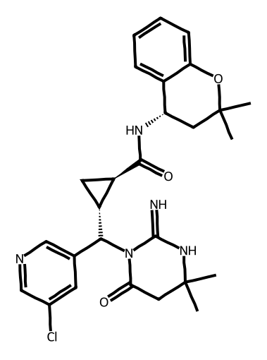 CC1(C)CC(=O)N(C(c2cncc(Cl)c2)[C@@H]2C[C@H]2C(=O)N[C@H]2CC(C)(C)Oc3ccccc32)C(=N)N1